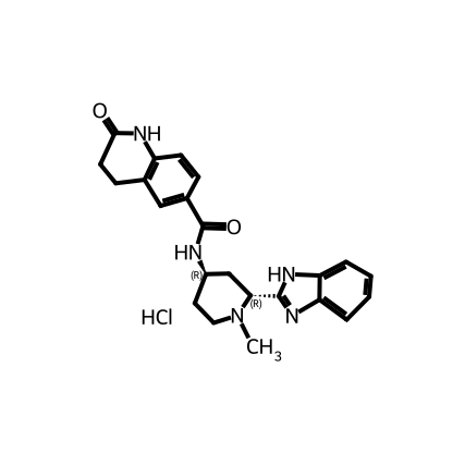 CN1CC[C@@H](NC(=O)c2ccc3c(c2)CCC(=O)N3)C[C@@H]1c1nc2ccccc2[nH]1.Cl